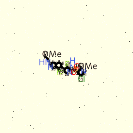 COCCNc1cc2ccc(-c3c(F)cnc(NS(=O)(=O)c4cc(Cl)cnc4OC)c3F)c(F)c2cn1